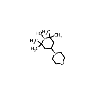 CC1(C)CC(N2CCOCC2)CC(C)(C)N1O